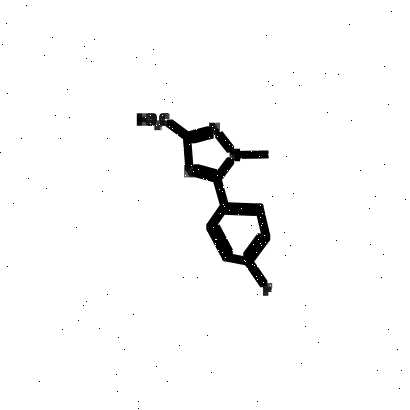 Cn1nc(C(=O)O)nc1-c1ccc(F)cc1